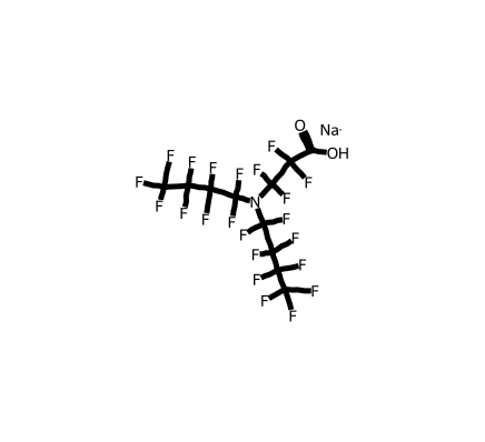 O=C(O)C(F)(F)C(F)(F)N(C(F)(F)C(F)(F)C(F)(F)C(F)(F)F)C(F)(F)C(F)(F)C(F)(F)C(F)(F)F.[Na]